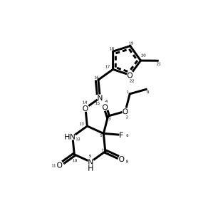 CCOC(=O)C1(F)C(=O)NC(=O)NC1ON=Cc1ccc(C)o1